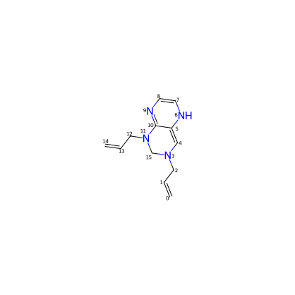 C=CCN1C=C2NC=CN=C2N(CC=C)C1